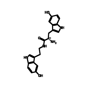 N[C@@H](Cc1c[nH]c2ccc(O)cc12)C(=O)NCCc1c[nH]c2ccc(O)cc12